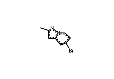 Cc1cc2cc(Br)ccn2n1